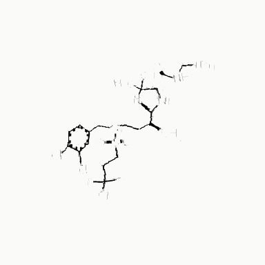 C=C(CCN(Cc1ccc(Cl)c(Cl)c1)S(=O)(=O)CCC(C)(F)F)C1=NC(C)(C)[C@H](C(=O)NCC(C)(C)C)N1